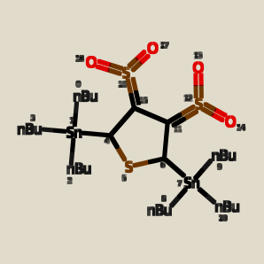 CCC[CH2][Sn]([CH2]CCC)([CH2]CCC)[CH]1S[CH]([Sn]([CH2]CCC)([CH2]CCC)[CH2]CCC)C(=S(=O)=O)C1=S(=O)=O